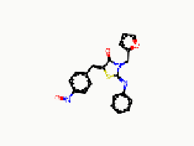 O=Nc1ccc(/C=C2\S/C(=N\c3ccccc3)N(Cc3ccco3)C2=O)cc1